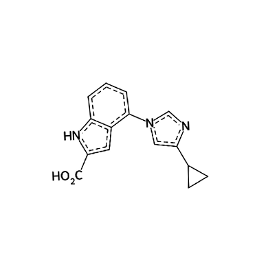 O=C(O)c1cc2c(-n3cnc(C4CC4)c3)cccc2[nH]1